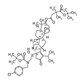 CC(C)C1=C2[C@H]3CC[C@@H]4[C@@]5(C)CC[C@H](OC(=O)CC(C)(C)C(=O)OC(C)(C)C)C(C)(C)[C@@H]5CC[C@@]4(C)[C@]3(C)CC[C@@]2([C@@H](O)CN(Cc2ccc(Cl)cc2)C(=O)OC(C)(C)C)CC1=O